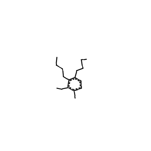 CCCCc1ccc(C)c(CC)c1CCCC